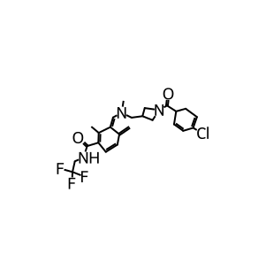 C=c1ccc(C(=O)NCC(F)(F)F)c(C)/c1=C/N(C)CC1CN(C(=O)C2C=CC(Cl)=CC2)C1